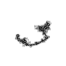 COc1cccc2c1C(=O)c1c(O)c3c(c(O)c1C2=O)C[C@@](O)(/C(CO)=N\NC(=O)CCCN1C(=O)CC(SCCC(=O)NCCOCc2cn(CCOCC(=O)NCc4ccc(-c5ccc(OC)c6c(C(=O)C(=O)N7CCN(C(=O)c8ccccc8)CC7)c[nH]c56)o4)nn2)C1=O)C[C@@H]3O[C@H]1C[C@H](N)[C@H](O)[C@H](C)O1